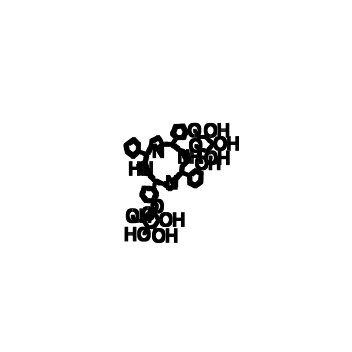 OCC1O[C@@H](Oc2cccc(-c3c4nc(c(-c5ccccc5)c5ccc([nH]5)c(-c5cccc(OC6O[C@H](CO)C(O)C(O)[C@H]6O)c5)c5nc(c(-c6ccccc6)c6ccc3[nH]6)C=C5)C=C4)c2)C(O)C(O)[C@@H]1O